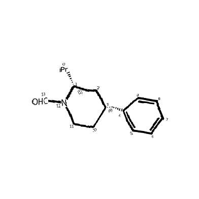 CC(C)[C@@H]1C[C@H](c2ccccc2)CCN1C=O